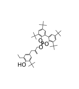 C=C(COp1oc2c(C(C)(C)C)cc(C(C)(C)C)cc2c2cc(C(C)(C)C)cc(C(C)(C)C)c2o1)Cc1cc(CC)c(O)c(C(C)(C)C)c1